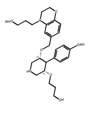 COCCCN1CCOc2ccc(CO[C@H]3CNC[C@@H](OCCCO)C3c3ccc(OC)cc3)cc21